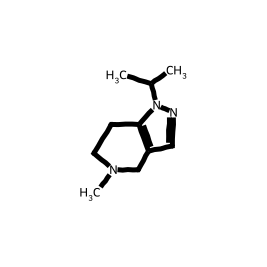 CC(C)n1ncc2c1CCN(C)C2